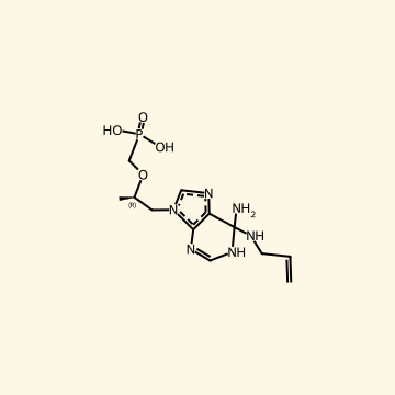 C=CCNC1(N)NC=Nc2c1ncn2C[C@@H](C)OCP(=O)(O)O